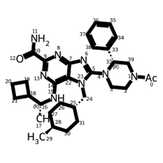 CC(=O)N1CCN(c2nc3nc(C(N)=O)nc(N[C@H](C)C4CCC4)c3n2C[C@H]2CC[C@H](C)CC2)[C@H](c2ccccc2)C1